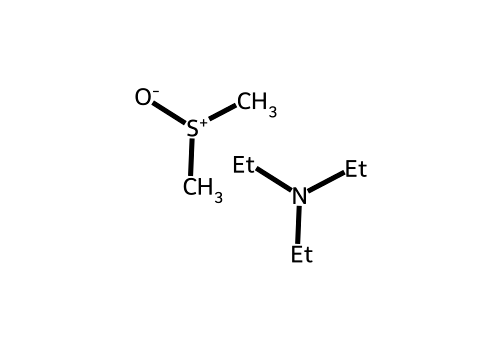 CCN(CC)CC.C[S+](C)[O-]